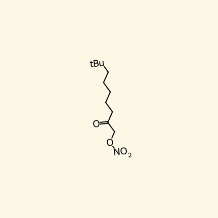 CC(C)(C)CCCCCC(=O)CO[N+](=O)[O-]